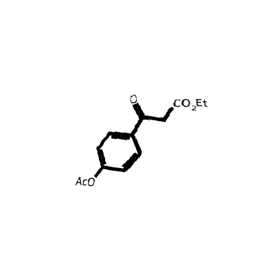 CCOC(=O)CC(=O)c1ccc(OC(C)=O)cc1